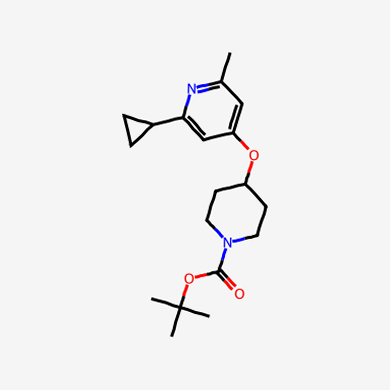 Cc1cc(OC2CCN(C(=O)OC(C)(C)C)CC2)cc(C2CC2)n1